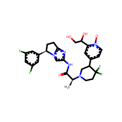 C[C@@H](C(=O)Nc1cn2c(n1)CC[C@@H]2c1cc(F)cc(F)c1)N1CCC(F)(F)C(c2cc[n+]([O-])c(C(O)CO)c2)C1